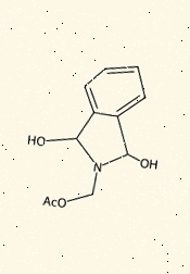 CC(=O)OCN1C(O)c2ccccc2C1O